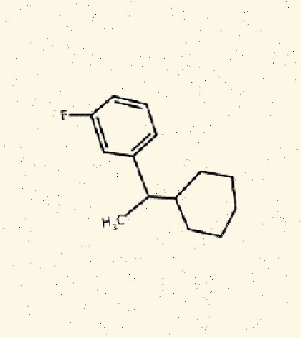 CC(c1cccc(F)c1)C1CCCCC1